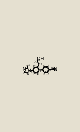 Cc1nccn1-c1ccc(-c2ccc(C#N)cc2)c(CCO)c1